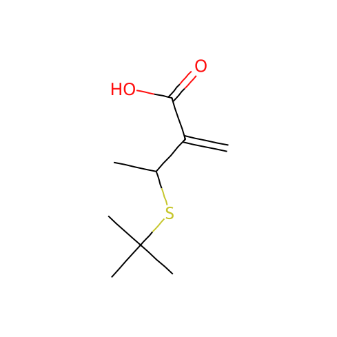 C=C(C(=O)O)C(C)SC(C)(C)C